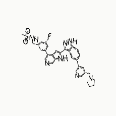 CS(=O)(=O)NCc1cc(F)cc(-c2cncc3[nH]c(-c4n[nH]c5ccc(-c6cncc(CN7CCCC7)c6)cc45)cc23)c1